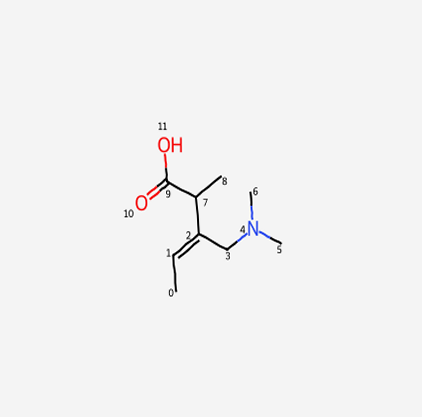 CC=C(CN(C)C)C(C)C(=O)O